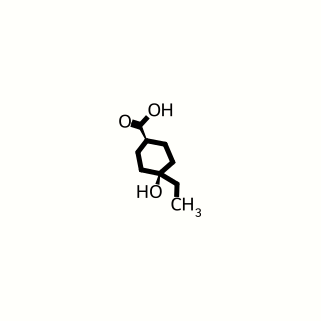 CC[C@]1(O)CC[C@@H](C(=O)O)CC1